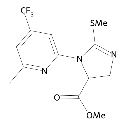 COC(=O)C1CN=C(SC)N1c1cc(C(F)(F)F)cc(C)n1